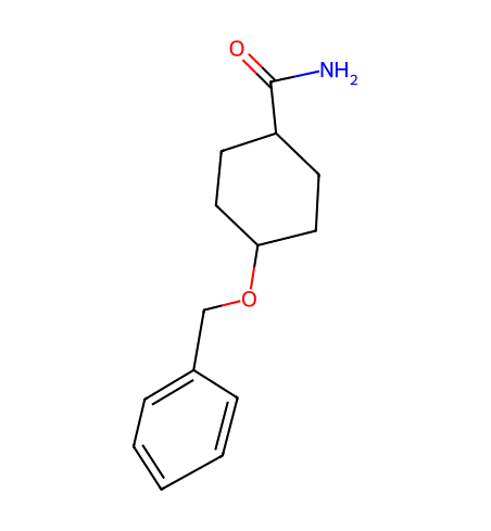 NC(=O)C1CCC(OCc2ccccc2)CC1